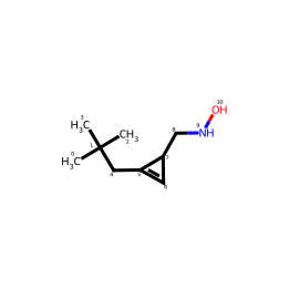 CC(C)(C)CC1=CC1CNO